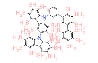 Bc1c(B)c(B)c(-c2c(B)c(B)c(B)c(-c3cccc(-n4c5c(B)c(B)c(B)c(B)c5c5c(B)c(-n6c7c(B)c(B)c(B)c(B)c7c7c(B)c(B)c(B)c(B)c76)c(B)c(B)c54)c3)c2B)c(B)c1B